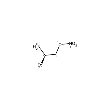 CC[C@@H](N)CO[N+](=O)[O-]